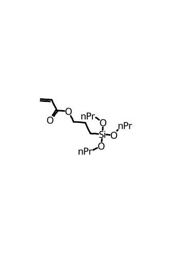 C=CC(=O)OCCC[Si](OCCC)(OCCC)OCCC